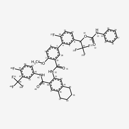 COc1ccc(-c2cc(C(OC(=O)Nc3ccccc3)C(F)(F)F)ccc2F)cc1C(=O)Nc1cc2c(cc1C(=O)Nc1ccc(F)c(C(F)(F)F)c1)CCCC2